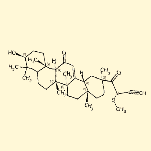 C#CN(OC)C(=O)[C@@]1(C)CC[C@]2(C)CC[C@]3(C)C(=CC(=O)[C@@H]4[C@@]5(C)CC[C@H](O)C(C)(C)C5CC[C@]43C)[C@@H]2C1